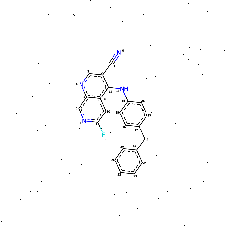 N#Cc1cnc2cnc(F)cc2c1Nc1ccc(Cc2ccccc2)cc1